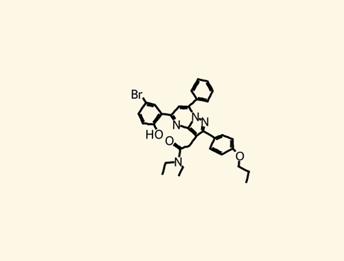 CCCOc1ccc(-c2nn3c(-c4ccccc4)cc(-c4cc(Br)ccc4O)nc3c2CC(=O)N(CC)CC)cc1